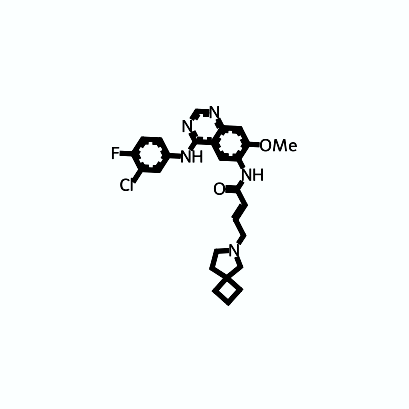 COc1cc2ncnc(Nc3ccc(F)c(Cl)c3)c2cc1NC(=O)/C=C/CN1CCC2(CCC2)C1